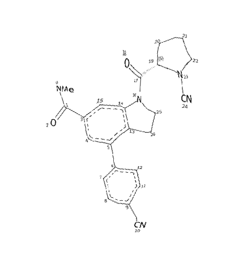 CNC(=O)c1cc(-c2ccc(C#N)cc2)c2c(c1)N(C(=O)[C@@H]1CCCN1C#N)CC2